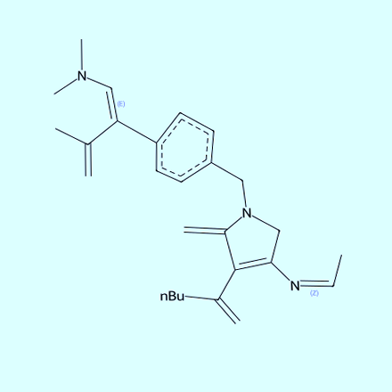 C=C(CCCC)C1=C(/N=C\C)CN(Cc2ccc(/C(=C/N(C)C)C(=C)C)cc2)C1=C